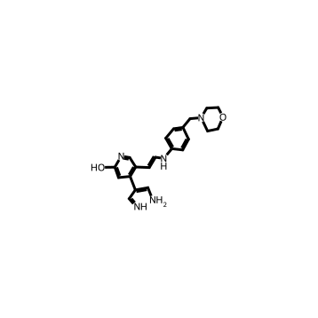 N=C/C(=C\N)c1cc(O)ncc1/C=C/Nc1ccc(CN2CCOCC2)cc1